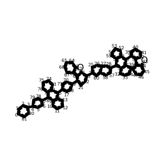 c1ccc(-c2ccc(-c3c4ccccc4c(-c4ccc(-c5ccc(-c6ccc7cc(-c8c9ccccc9c(-c9cccc%10oc%11ccccc%11c9%10)c9ccccc89)ccc7c6)c6oc7ccccc7c56)cc4)c4ccccc34)cc2)cc1